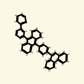 c1ccc(-c2cccc(-c3c4ccccc4c(-c4ccc(-c5cc6ccccc6c6ccccc56)cc4)c4ccccc34)c2)cc1